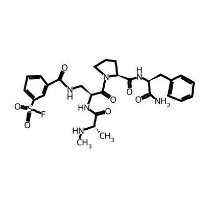 CN[C@@H](C)C(=O)N[C@@H](CNC(=O)c1cccc(S(=O)(=O)F)c1)C(=O)N1CCC[C@H]1C(=O)N[C@@H](Cc1ccccc1)C(N)=O